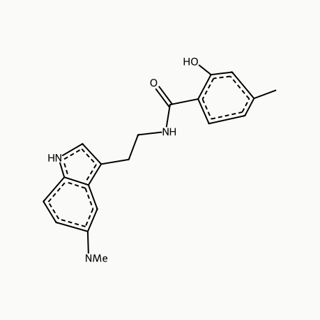 CNc1ccc2[nH]cc(CCNC(=O)c3ccc(C)cc3O)c2c1